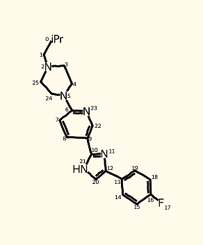 CC(C)CN1CCN(c2ccc(-c3nc(-c4ccc(F)cc4)c[nH]3)cn2)CC1